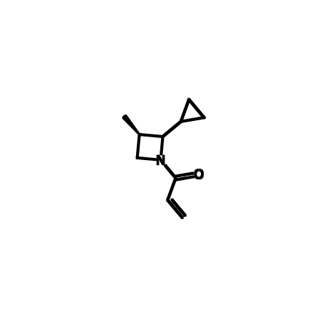 C=CC(=O)N1C[C@@H](C)C1C1CC1